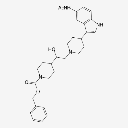 CC(=O)Nc1ccc2[nH]cc(C3CCN(CC(O)C4CCN(C(=O)OCc5ccccc5)CC4)CC3)c2c1